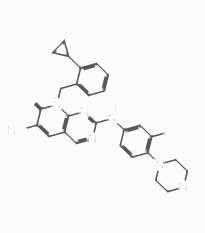 N#Cc1cc2cnc(Nc3ccc(N4CCNCC4)c(F)c3)nc2n(Cc2ccccc2C2CC2)c1=O